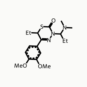 CCC1SC(=O)N(C(CC)N(C)C)N=C1c1ccc(OC)c(OC)c1